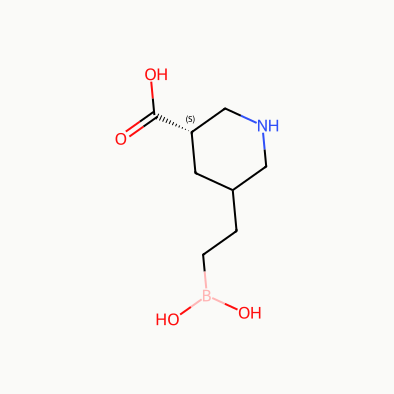 O=C(O)[C@@H]1CNCC(CCB(O)O)C1